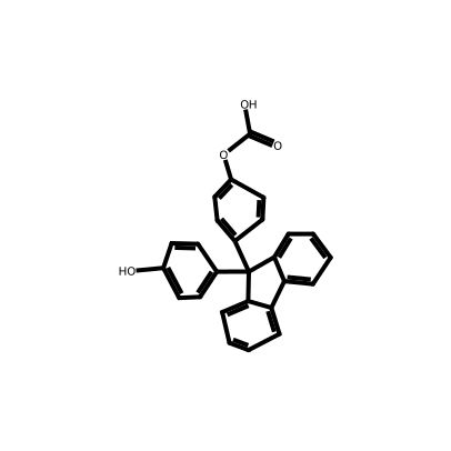 O=C(O)Oc1ccc(C2(c3ccc(O)cc3)c3ccccc3-c3ccccc32)cc1